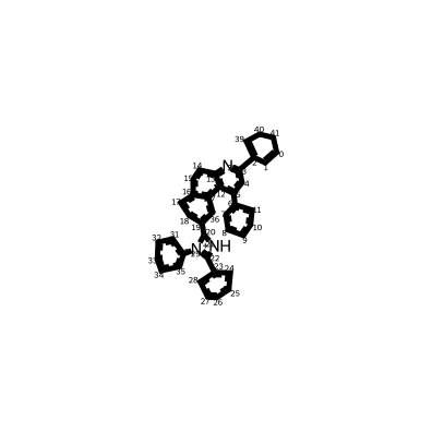 C1=CC(c2cc(-c3ccccc3)c3c(ccc4ccc(C5NC(c6ccccc6)=[N+]5c5ccccc5)cc43)n2)=CCC1